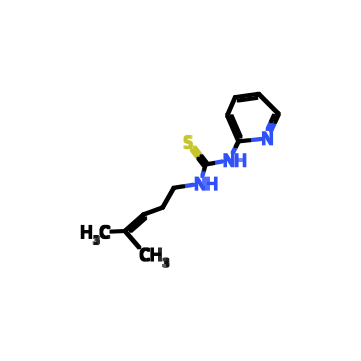 CC(C)=CCCNC(=S)Nc1ccccn1